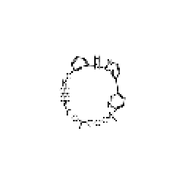 CC1CCCN(C)c2ccc(cn2)-c2ccnc(n2)Nc2cccc(c2)CN2CCC(CC1)CC2